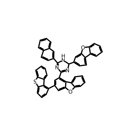 c1ccc2cc(C3=NC(c4cc(-c5cccc6sc7ccccc7c56)cc5oc6ccccc6c45)=NC(c4ccc5c(c4)oc4ccccc45)N3)ccc2c1